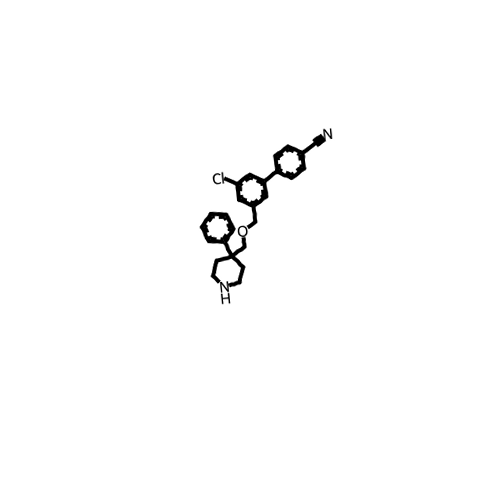 N#Cc1ccc(-c2cc(Cl)cc(COCC3(c4ccccc4)CCNCC3)c2)cc1